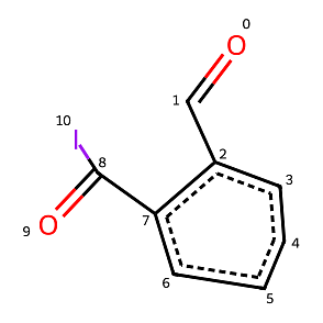 O=Cc1ccccc1C(=O)I